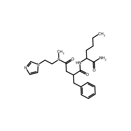 CCCCC(NC(=O)C(CC(=O)N(C)CCn1ccnc1)Cc1ccccc1)C(N)=O